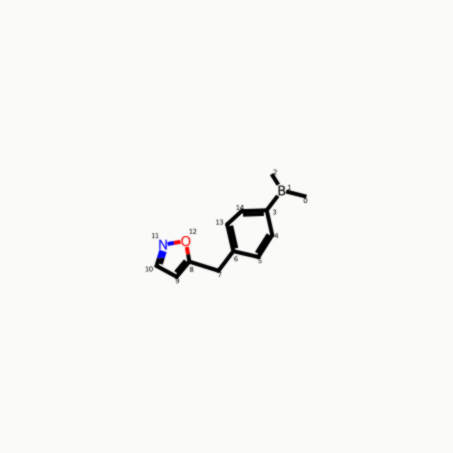 CB(C)c1ccc(Cc2ccno2)cc1